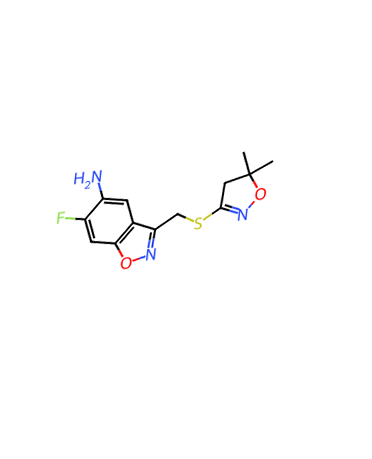 CC1(C)CC(SCc2noc3cc(F)c(N)cc23)=NO1